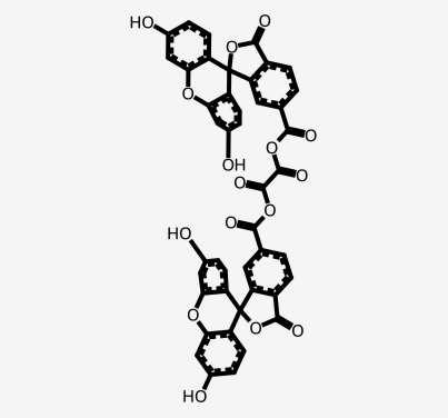 O=C(OC(=O)c1ccc2c(c1)C1(OC2=O)c2ccc(O)cc2Oc2cc(O)ccc21)C(=O)OC(=O)c1ccc2c(c1)C1(OC2=O)c2ccc(O)cc2Oc2cc(O)ccc21